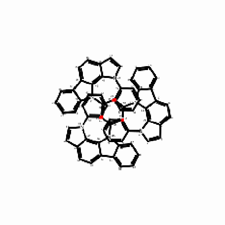 c1ccc(-n2ccc3ccc4c5ccccc5n(-c5nc(-n6c7ccccc7c7ccc8ccn(-c9ccccc9)c8c76)nc(-n6c7ccccc7c7ccc8ccn(-c9ccccc9)c8c76)n5)c4c32)cc1